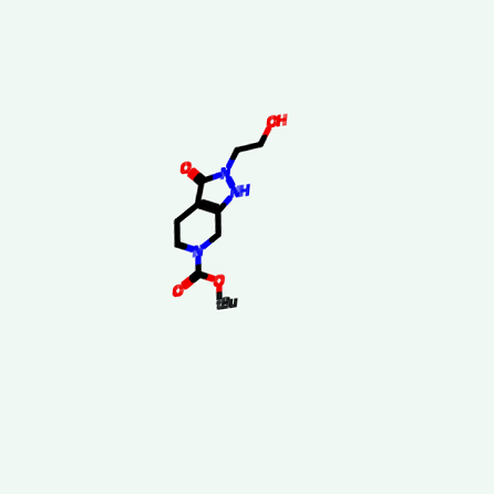 CC(C)(C)OC(=O)N1CCc2c([nH]n(CCO)c2=O)C1